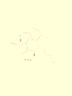 CN(C)CCCN(c1ccncc1N)c1ccccc1-c1ccccc1C=O